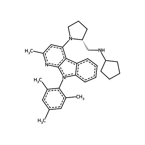 Cc1cc(C)c(-n2c3ccccc3c3c(N4CCC[C@@H]4CNC4CCCC4)cc(C)nc32)c(C)c1